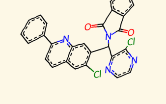 O=C1c2ccccc2C(=O)N1C(c1cc2nc(-c3ccccc3)ccc2cc1Cl)c1nccnc1Cl